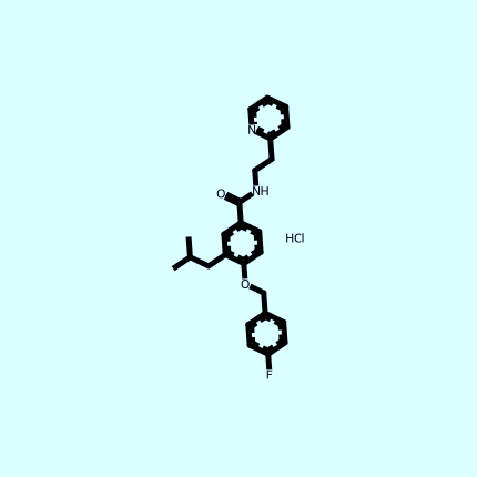 CC(C)Cc1cc(C(=O)NCCc2ccccn2)ccc1OCc1ccc(F)cc1.Cl